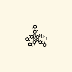 Cc1ccccc1-c1ccc(N2c3cc(C)c(-c4ccccc4C)cc3B3c4cc(-c5ccccc5C)c(C)cc4N(c4ccc(-c5ccccc5C)c(C)c4)c4cc(OC(F)(F)F)cc2c43)cc1C